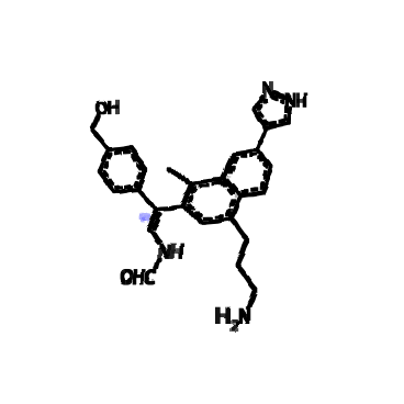 Cc1c(/C(=C\NC=O)c2ccc(CO)cc2)cc(CCCN)c2ccc(-c3cn[nH]c3)cc12